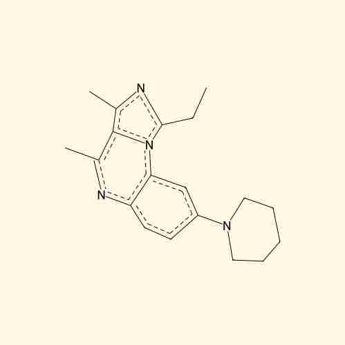 CCc1nc(C)c2c(C)nc3ccc(N4CCCCC4)cc3n12